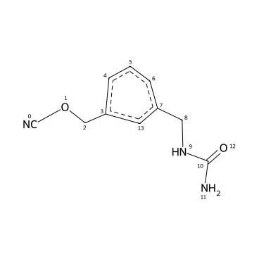 N#COCc1cccc(CNC(N)=O)c1